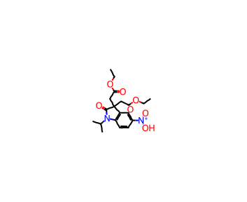 CCOC(=O)CC1(CC(=O)OCC)C(=O)N(C(C)C)c2ccc([N+](=O)O)cc21